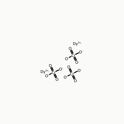 [Dy+3].[Dy+3].[O]=[Cr](=[O])([O-])[O-].[O]=[Cr](=[O])([O-])[O-].[O]=[Cr](=[O])([O-])[O-]